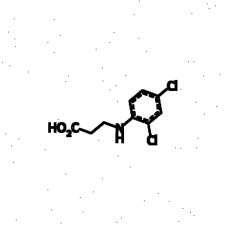 O=C(O)CCNc1ccc(Cl)cc1Cl